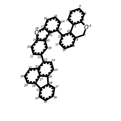 c1ccc2c(c1)OCc1cccc(-c3cccc4oc5ccc(-c6ccc7c8c(cccc68)-c6ccccc6-7)cc5c34)c1-2